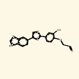 O=CCOc1ccc(-c2nc(-c3ccc4[nH]cnc4c3)co2)cc1O